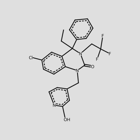 CCC1(c2ccccc2)c2cc(Cl)ccc2N(Cc2ccnc(O)c2)C(=O)N1CC(F)(F)F